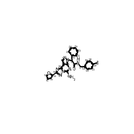 Nc1nc2c(cnn2C(C(=O)NCc2ccc(F)cc2)c2ccccc2)c2nc(-c3ccco3)nn12